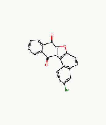 O=C1c2ccccc2C(=O)c2c1oc1ccc3cc(Br)ccc3c21